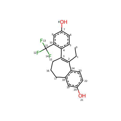 CCC1=C(c2ccc(O)cc2C(F)(F)F)CCCc2cc(O)ccc21